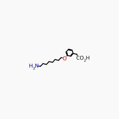 NCCCCCCCCOc1cccc(CC(=O)O)c1